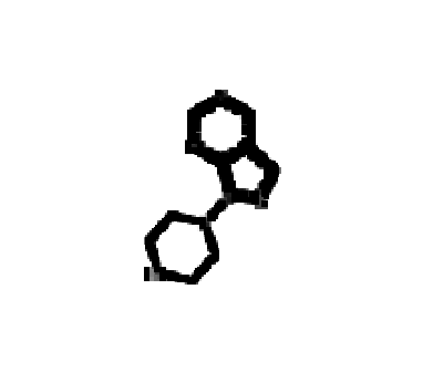 c1ncc2cnn(N3CCNCC3)c2n1